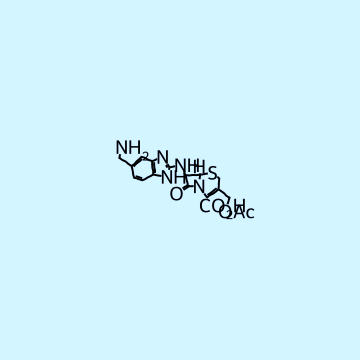 CC(=O)OCC1=C(C(=O)O)N2C(=O)C(Nc3nc4cc(CN)ccc4[nH]3)[C@H]2SC1